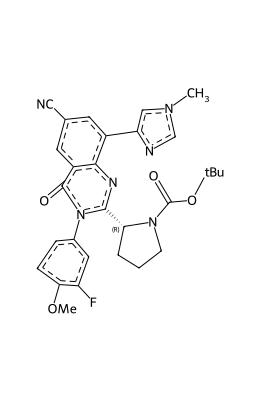 COc1ccc(-n2c([C@H]3CCCN3C(=O)OC(C)(C)C)nc3c(-c4cn(C)cn4)cc(C#N)cc3c2=O)cc1F